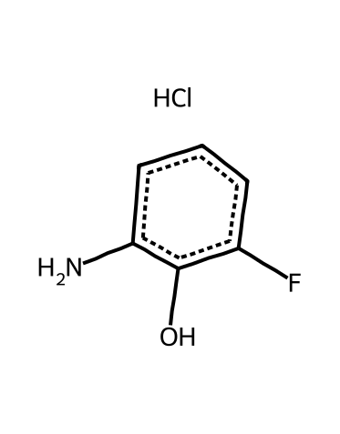 Cl.Nc1cccc(F)c1O